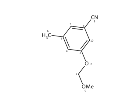 COCOc1cc(C)cc(C#N)c1